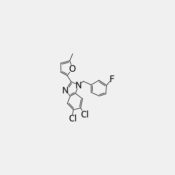 Cc1ccc(-c2nc3cc(Cl)c(Cl)cc3n2Cc2cccc(F)c2)o1